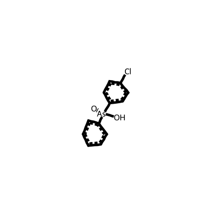 O=[As](O)(c1ccccc1)c1ccc(Cl)cc1